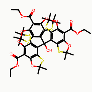 CCOC(=O)c1c2c(c(C(O)(c3c4c(c(C(=O)OCC)c5c3SC(C)(C)O5)OC(C)(C)S4)c3c4c(c(C(=O)OCC)c5c3SC(C)(C)O5)OC(C)(C)S4)c3c1OC(C)(C)S3)SC(C)(C)O2